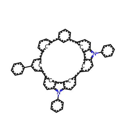 c1ccc(-c2cc3cc(c2)c2ccc4c(c2)c2cc(ccc2n4-c2ccccc2)c2ccc4c(c2)c2cc(ccc2n4-c2ccccc2)c2cccc(c2)c2cccc3c2)cc1